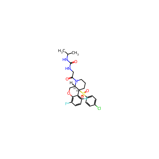 CC(C)NC(=O)NCC(=O)N1CCC[C@]2(S(=O)(=O)c3ccc(Cl)cc3)c3c(F)ccc(F)c3OC[C@H]12